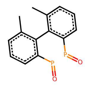 Cc1cccc(P=O)c1-c1c(C)cccc1P=O